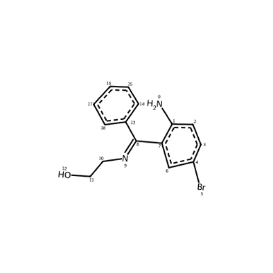 Nc1ccc(Br)cc1C(=NCCO)c1ccccc1